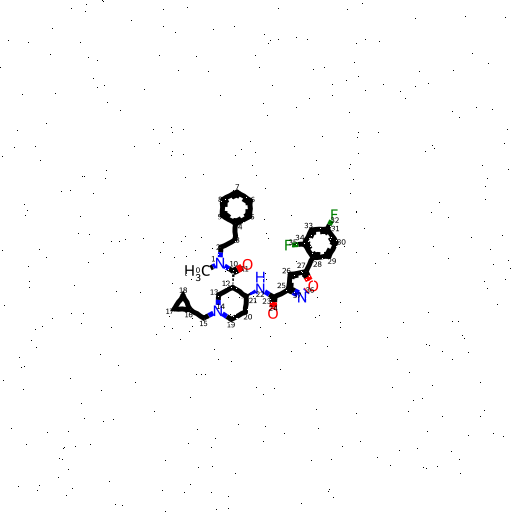 CN(CCc1ccccc1)C(=O)[C@H]1CN(CC2CC2)CC[C@@H]1NC(=O)c1cc(-c2ccc(F)cc2F)on1